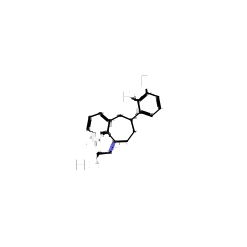 O=C(O)/C=C1/CCC(c2cccc(F)c2F)Cc2cccnc21